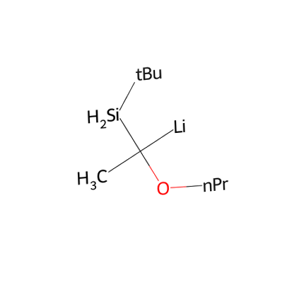 [Li][C](C)(OCCC)[SiH2]C(C)(C)C